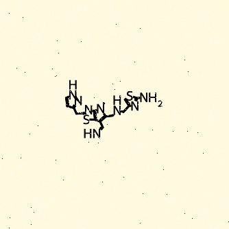 Cn1c(CNCc2csc(N)n2)c(C=N)c2sc(Cc3cc[nH]n3)nc21